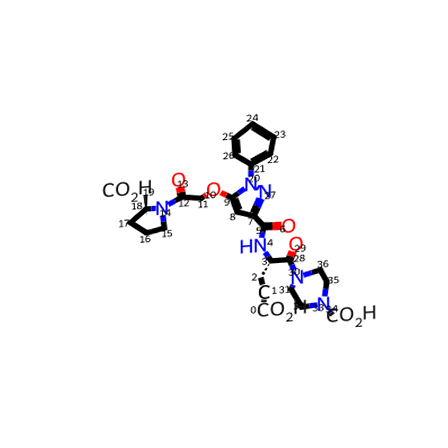 O=C(O)CC[C@H](NC(=O)c1cc(OCC(=O)N2CCC[C@H]2C(=O)O)n(-c2ccccc2)n1)C(=O)N1CCN(C(=O)O)CC1